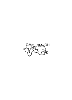 CNNC(=O)C(C)(CCCC(C)(C)CS(=O)(=O)CCO)c1cccc(C[C@H](C)C(=O)OC)n1